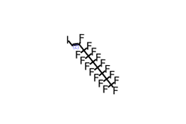 F/C(=C\I)C(F)(F)C(F)(F)C(F)(F)C(F)(F)C(F)(F)C(F)(F)C(F)(F)F